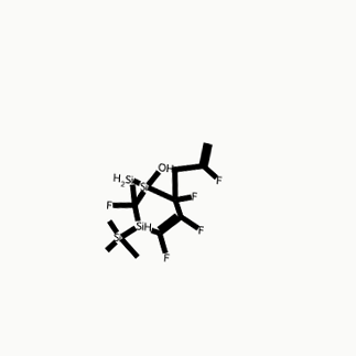 C=C(F)CC1(F)C(F)=C(F)[SiH]([Si](C)(C)C)C2(F)[SiH2][Si]12O